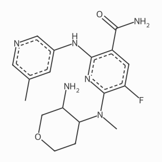 Cc1cncc(Nc2nc(N(C)C3CCOCC3N)c(F)cc2C(N)=O)c1